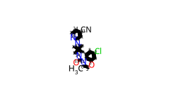 CC1COc2cc(Cl)ccc2N1C(=O)N1CC2(C1)CN(c1cc(C#N)ccn1)C2